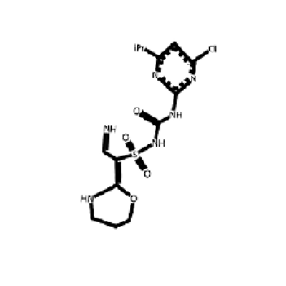 CC(C)c1cc(Cl)nc(NC(=O)NS(=O)(=O)/C(C=N)=C2/NCCCO2)n1